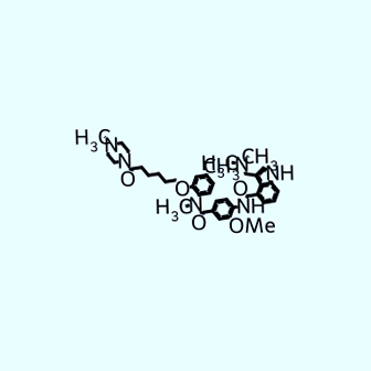 COc1cc(C(=O)N(C)c2ccc(C)cc2OCCCCCC(=O)N2CCN(C)CC2)ccc1NC(=O)c1cccc2[nH]cc(CN(C)C)c12